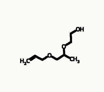 C=CCOCC(C)OCCO